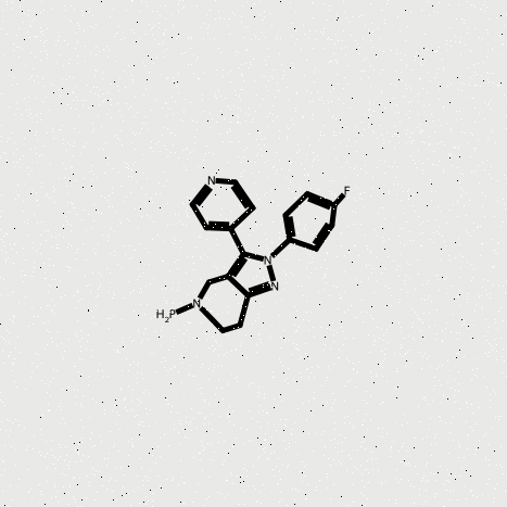 Fc1ccc(-n2nc3c(c2-c2ccncc2)CN(P)CC3)cc1